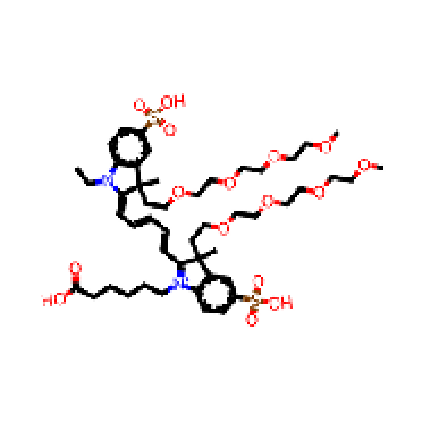 CCN1/C(=C/C=C/C=C/C2=[N+](CCCCCC(=O)O)c3ccc(S(=O)(=O)O)cc3C2(C)CCOCCOCCOCCOC)C(C)(CCOCCOCCOCCOC)c2cc(S(=O)(=O)O)ccc21